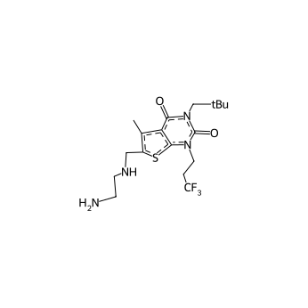 Cc1c(CNCCN)sc2c1c(=O)n(CC(C)(C)C)c(=O)n2CCC(F)(F)F